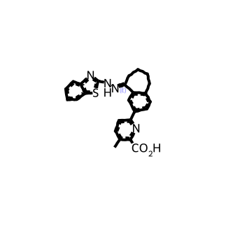 Cc1ccc(-c2ccc3c(c2)/C(=N/Nc2nc4ccccc4s2)CCCC3)nc1C(=O)O